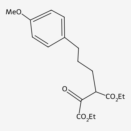 CCOC(=O)C(=O)C(CCCc1ccc(OC)cc1)C(=O)OCC